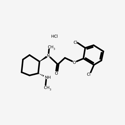 CN[C@@H]1CCCC[C@H]1N(C)C(=O)COc1c(Cl)cccc1Cl.Cl